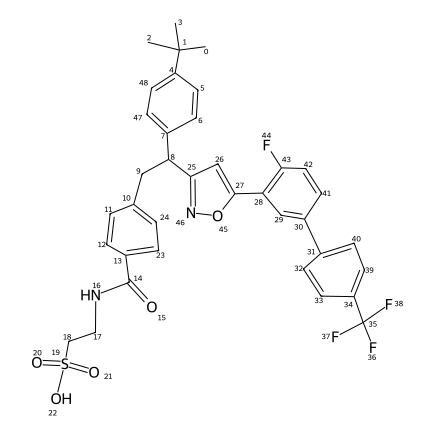 CC(C)(C)c1ccc(C(Cc2ccc(C(=O)NCCS(=O)(=O)O)cc2)c2cc(-c3cc(-c4ccc(C(F)(F)F)cc4)ccc3F)on2)cc1